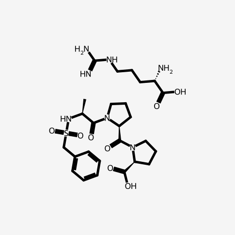 C[C@H](NS(=O)(=O)Cc1ccccc1)C(=O)N1CCC[C@H]1C(=O)N1CCC[C@H]1C(=O)O.N=C(N)NCCC[C@H](N)C(=O)O